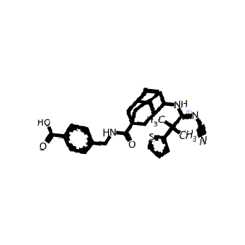 CC(C)(/C(=N\C#N)NC1C2CC3CC1CC(C(=O)NCc1ccc(C(=O)O)cc1)(C3)C2)c1cccs1